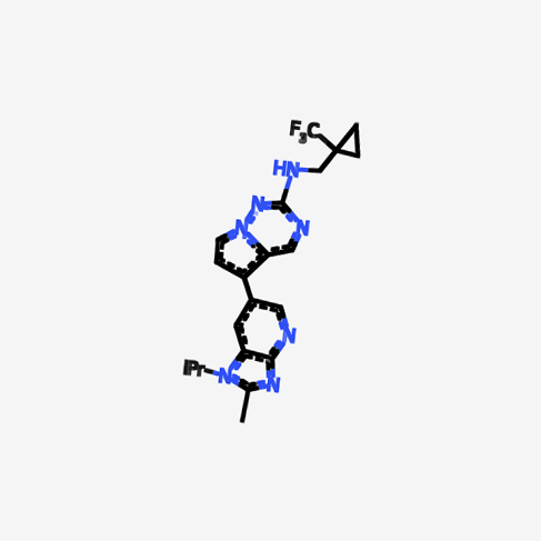 Cc1nc2ncc(-c3ccn4nc(NCC5(C(F)(F)F)CC5)ncc34)cc2n1C(C)C